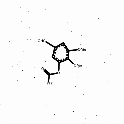 CCCC(=O)Oc1cc(C=O)cc(OC)c1OC